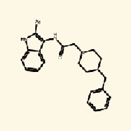 CC(=O)c1[nH]c2ccccc2c1NC(=O)CN1CCC(Cc2ccccc2)CC1